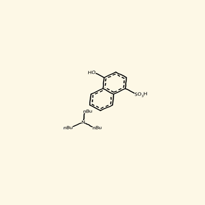 CCCCN(CCCC)CCCC.O=S(=O)(O)c1ccc(O)c2ccccc12